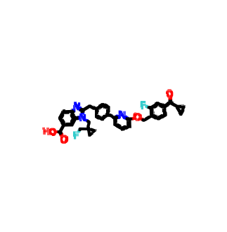 O=C(O)c1ccc2nc(Cc3ccc(-c4cccc(OCc5ccc(C(=O)C6CC6)cc5F)n4)cc3)n(CC3(CF)CC3)c2c1